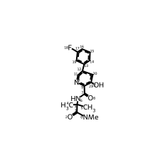 CNC(=O)C(C)(C)NC(=O)c1ncc(-c2cccc(F)c2)cc1O